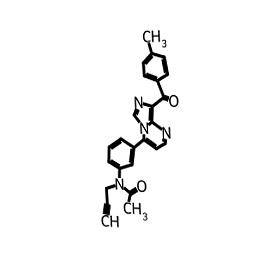 C#CCN(C(C)=O)c1cccc(-c2ccnc3c(C(=O)c4ccc(C)cc4)ncn23)c1